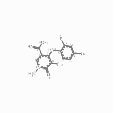 Cn1cc(C(=O)O)c(Nc2ccc(I)cc2F)c(F)c1=O